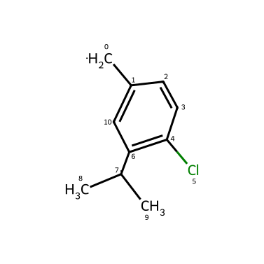 [CH2]c1ccc(Cl)c([C](C)C)c1